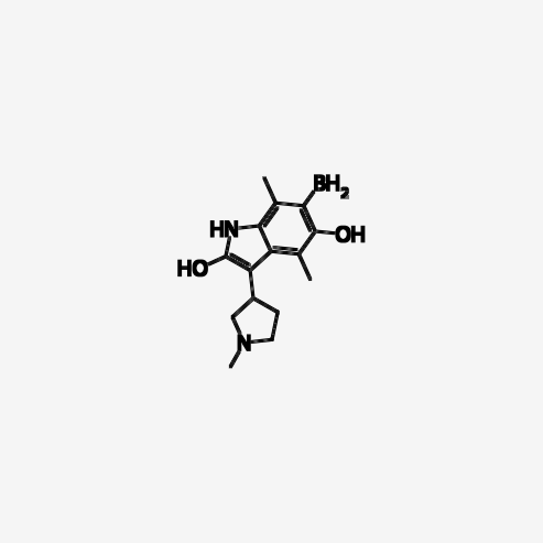 Bc1c(O)c(C)c2c(C3CCN(C)C3)c(O)[nH]c2c1C